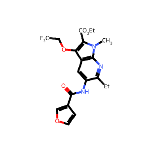 CCOC(=O)c1c(OCC(F)(F)F)c2cc(NC(=O)c3ccoc3)c(CC)nc2n1C